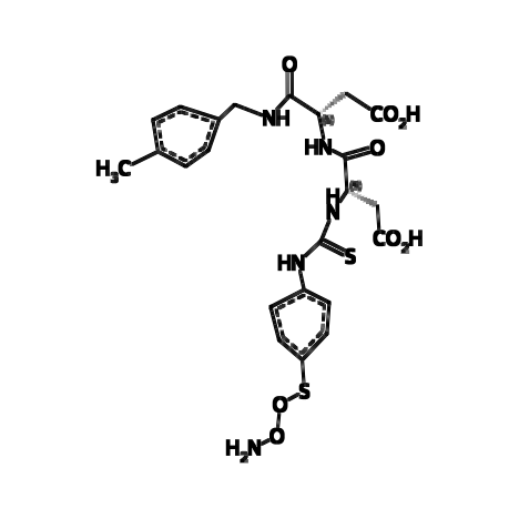 Cc1ccc(CNC(=O)[C@H](CC(=O)O)NC(=O)[C@H](CC(=O)O)NC(=S)Nc2ccc(SOON)cc2)cc1